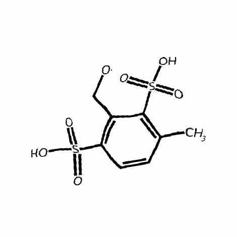 Cc1ccc(S(=O)(=O)O)c(C[O])c1S(=O)(=O)O